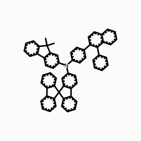 CC1(C)c2ccccc2-c2ccc(N(c3ccc(-c4ccc5ccccc5c4-c4ccccc4)cc3)c3ccc4c(c3)C3(c5ccccc5-c5ccccc53)c3ccccc3-4)cc21